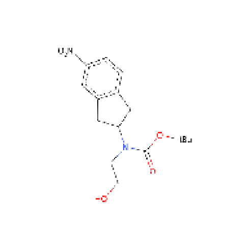 CC(C)(C)OC(=O)N(CCO)C1Cc2ccc([N+](=O)[O-])cc2C1